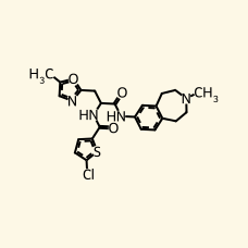 Cc1cnc(CC(NC(=O)c2ccc(Cl)s2)C(=O)Nc2ccc3c(c2)CCN(C)CC3)o1